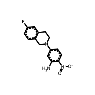 Nc1cc(N2CCc3cc(F)ccc3C2)ccc1[N+](=O)[O-]